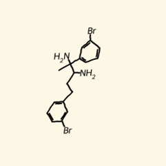 CC(N)(c1cccc(Br)c1)C(N)CCc1cccc(Br)c1